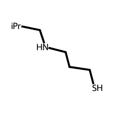 CC(C)CNCCCS